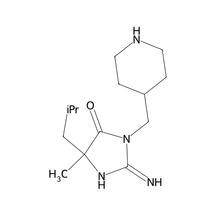 CC(C)CC1(C)NC(=N)N(CC2CCNCC2)C1=O